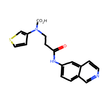 O=C(CCN(C(=O)O)c1ccsc1)Nc1ccc2cnccc2c1